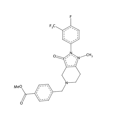 COC(=O)c1ccc(CN2CCc3c(c(=O)n(-c4ccc(F)c(C(F)(F)F)c4)n3C)C2)cc1